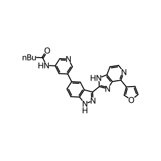 CCCCC(=O)Nc1cncc(-c2ccc3[nH]nc(-c4nc5c(-c6ccoc6)nccc5[nH]4)c3c2)c1